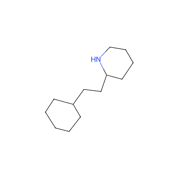 C1CCC(CCC2CCCCN2)CC1